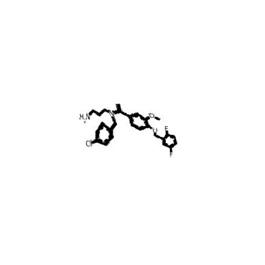 C=C(c1ccc(OCc2cc(F)ccc2F)c(OC)c1)N(CCCN)Cc1ccc(Cl)cc1